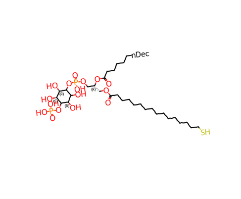 CCCCCCCCCCCCCCCC(=O)O[C@H](COC(=O)CCCCCCCCCCCCCCCS)COP(=O)(O)OC1C(O)[C@@H](O)C(OP(=O)(O)O)[C@@H](O)[C@H]1O